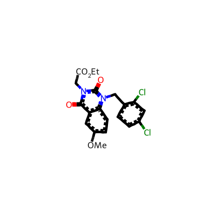 CCOC(=O)Cn1c(=O)c2cc(OC)ccc2n(Cc2ccc(Cl)cc2Cl)c1=O